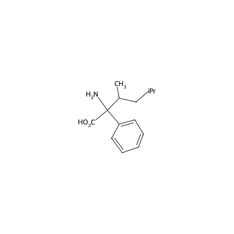 CC(C)CC(C)C(N)(C(=O)O)c1ccccc1